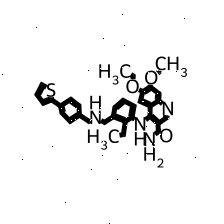 CCOc1cc2ncc(C(N)=O)c(Nc3cccc(CNCc4ccc(-c5cccs5)cc4)c3CC)c2cc1OCC